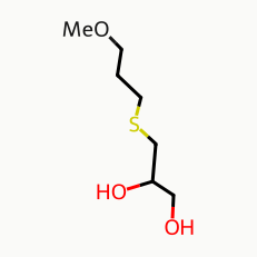 COCCCSCC(O)CO